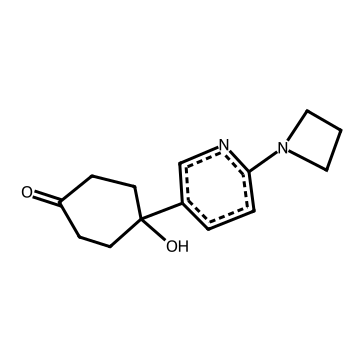 O=C1CCC(O)(c2ccc(N3CCC3)nc2)CC1